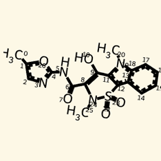 Cc1cnc(NC(=O)C2=C(O)c3c(c4ccccc4n3C)S(=O)(=O)N2C)o1